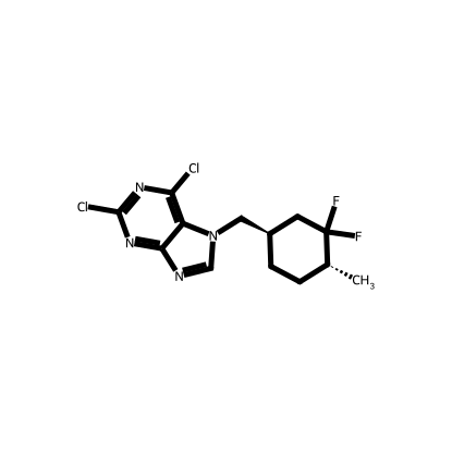 C[C@@H]1CC[C@@H](Cn2cnc3nc(Cl)nc(Cl)c32)CC1(F)F